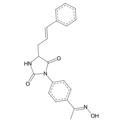 CC(=NO)c1ccc(N2C(=O)NC(CC=Cc3ccccc3)C2=O)cc1